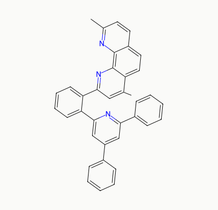 Cc1ccc2ccc3c(C)cc(-c4ccccc4-c4cc(-c5ccccc5)cc(-c5ccccc5)n4)nc3c2n1